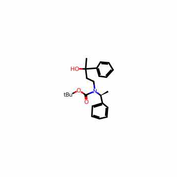 C[C@@H](c1ccccc1)N(CCC(C)(O)c1ccccc1)C(=O)OC(C)(C)C